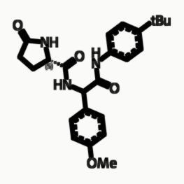 COc1ccc(C(NC(=O)[C@@H]2CCC(=O)N2)C(=O)Nc2ccc(C(C)(C)C)cc2)cc1